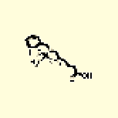 CC(C)(C)N(CCCCCC(=O)O)Cc1ccccc1